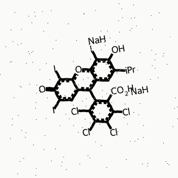 CC(C)c1cc2c(-c3c(Cl)c(Cl)c(Cl)c(Cl)c3C(=O)O)c3cc(I)c(=O)c(I)c-3oc2c(I)c1O.[NaH].[NaH]